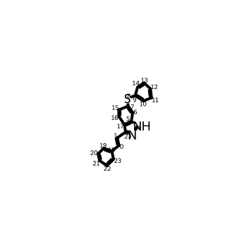 C(=C\c1n[nH]c2cc(Sc3ccccc3)ccc12)/c1ccccc1